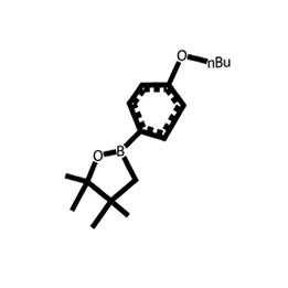 CCCCOc1ccc(B2CC(C)(C)C(C)(C)O2)cc1